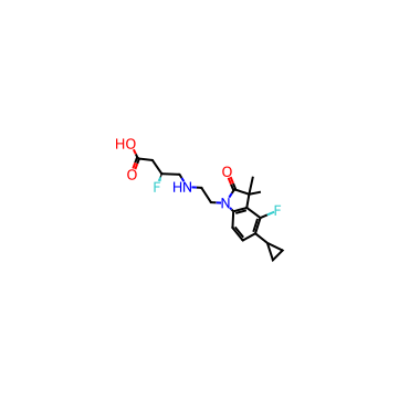 CC1(C)C(=O)N(CCNC[C@@H](F)CC(=O)O)c2ccc(C3CC3)c(F)c21